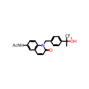 CC(=O)Nc1ccc2c(ccc(=O)n2Cc2ccc(C(C)(O)C(F)(F)F)cc2)c1